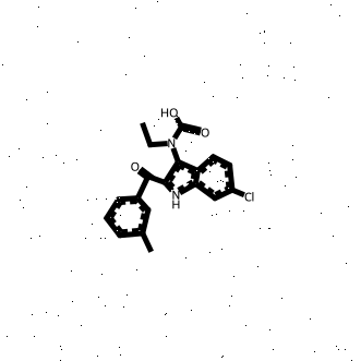 CCN(C(=O)O)c1c(C(=O)c2cccc(C)c2)[nH]c2cc(Cl)ccc12